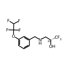 O[C@H](CNCc1cccc(OC(F)(F)C(F)F)c1)C(F)(F)F